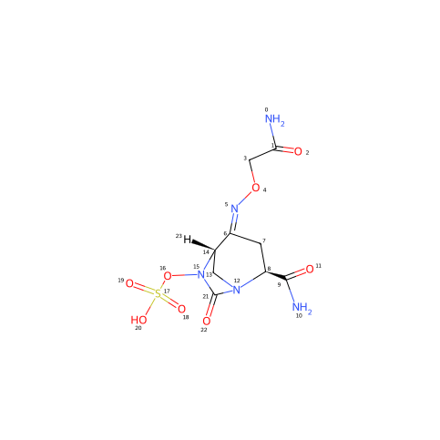 NC(=O)CON=C1C[C@@H](C(N)=O)N2C[C@@H]1N(OS(=O)(=O)O)C2=O